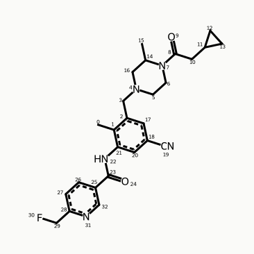 Cc1c(CN2CCN(C(=O)CC3CC3)C(C)C2)cc(C#N)cc1NC(=O)c1ccc(CF)nc1